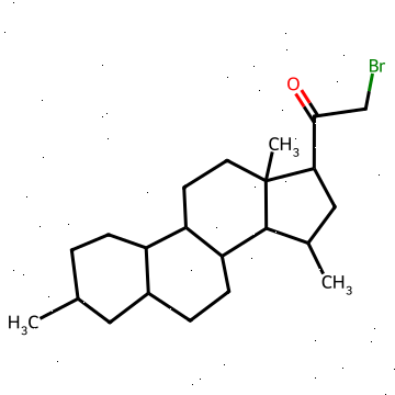 CC1CCC2C(CCC3C2CCC2(C)C(C(=O)CBr)CC(C)C32)C1